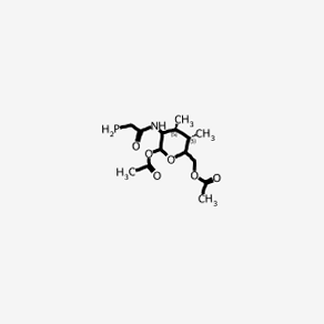 CC(=O)OCC1OC(OC(C)=O)C(NC(=O)CP)[C@@H](C)[C@@H]1C